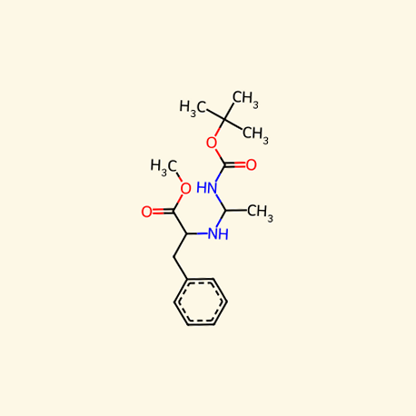 COC(=O)C(Cc1ccccc1)NC(C)NC(=O)OC(C)(C)C